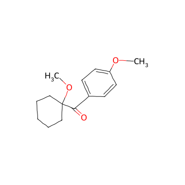 COc1ccc(C(=O)C2(OC)CCCCC2)cc1